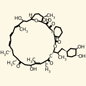 C/C1=C\[C@@H](C)C(=O)C[C@@H]([C@H](C)C[C@@H]2CC[C@@H](O)[C@H](O)C2)OC(=O)[C@@H]2CCCCN2C(=O)C(=O)[C@]2(O)O[C@@H](CC[C@H]2C)C[C@H](O)/C(C)=C/C=C/C=C\[C@@H](C)C[C@@H](C)C(=O)C[C@@H]1O